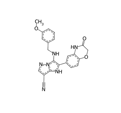 COc1cccc(CNc2c(-c3ccc4c(c3)NC(=O)CO4)[nH]c3c(C#N)cnn23)c1